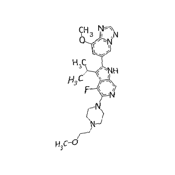 COCCN1CCN(c2ncc3[nH]c(-c4cc(OC)c5ncnn5c4)c(C(C)C)c3c2F)CC1